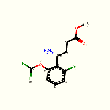 CC(C)(C)OC(=O)CC[C@@H](N)c1c(Br)cccc1OC(F)F